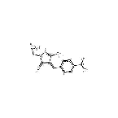 CCN(CC)c1ccc(C=C2C(=O)N(CC(=O)O)N=C2C)cc1